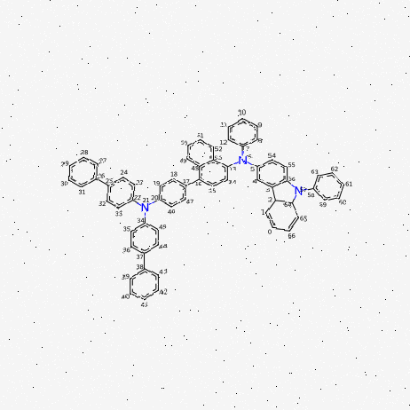 C1=CC2c3cc(N(c4ccccc4)c4ccc(-c5ccc(N(c6ccc(-c7ccccc7)cc6)c6ccc(-c7ccccc7)cc6)cc5)c5ccccc45)ccc3N(c3ccccc3)C2C=C1